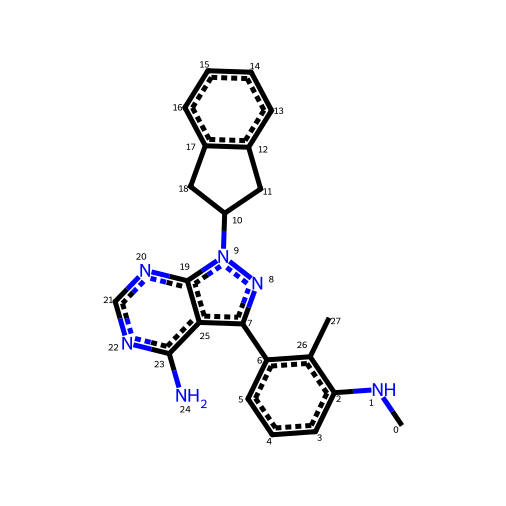 CNc1cccc(-c2nn(C3Cc4ccccc4C3)c3ncnc(N)c23)c1C